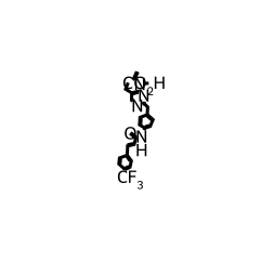 C=CN(C)c1nc(Cc2ccc(NC(=O)/C=C/c3ccc(C(F)(F)F)cc3)cc2)ncc1CC(=O)O